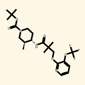 C[C@H]1CN(C(=O)OC(C)(C)C)CC[C@@H]1NC(=O)C(C)(C)COc1ncccc1OC(F)(F)F